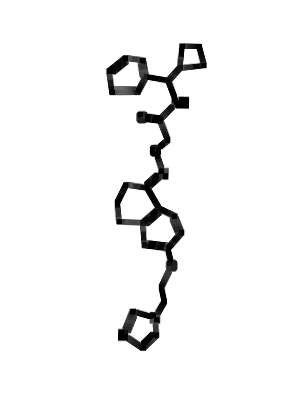 O=C(CON=C1CCCc2cc(OCCn3ccnc3)ccc21)NC(c1ccccc1)C1CCC1